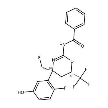 O=C(NC1=N[C@](CF)(c2cc(O)ccc2F)C[C@@H](C(F)(F)F)O1)c1ccccc1